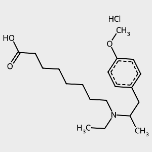 CCN(CCCCCCCC(=O)O)C(C)Cc1ccc(OC)cc1.Cl